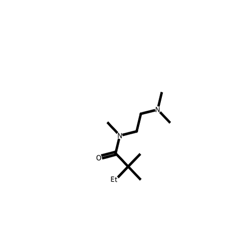 CCC(C)(C)C(=O)N(C)CCN(C)C